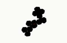 c1ccc(-c2ccc(N(c3ccccc3)c3ccccc3-c3ccc(-c4ccc5c6ccccc6n(-c6ccc7c(c6)-c6ccccc6C7(c6ccccc6)c6ccccc6)c5c4)cc3)cc2-c2ccccc2)cc1